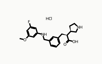 COc1cc(F)cc(NCc2cccc(C[C@H](C(=O)O)[C@H]3CCNC3)c2)c1.Cl